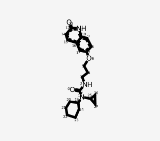 O=C(NCCCOc1ccc2[nH]c(=O)ccc2c1)N(C1CCCCC1)C1CC1